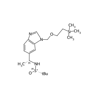 C[C@@H](N[S@@+]([O-])C(C)(C)C)c1ccc2ncn(COCC[Si](C)(C)C)c2c1